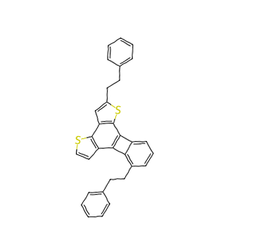 c1ccc(CCc2cc3c(s2)c2c(c4ccsc43)-c3c(CCc4ccccc4)cccc3-2)cc1